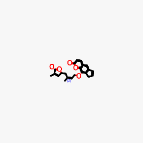 CC1=CC(C/C(C)=C\COc2c3c(cc4ccc(=O)oc24)C=CC3)OC1=O